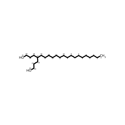 CCCCCCCCCCCCCCCCC[C](CCCO)CCCO